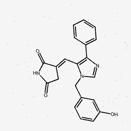 O=C1C/C(=C\c2c(-c3ccccc3)ncn2Cc2cccc(O)c2)C(=O)N1